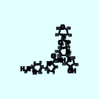 Nc1ccc(-c2cccc(C(=O)Nc3cc4oc(N5CCOCC5)nc4nc3N3CC[C@@H](O)C3)n2)cn1